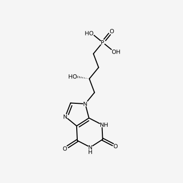 O=c1[nH]c(=O)c2ncn(C[C@H](O)CCP(=O)(O)O)c2[nH]1